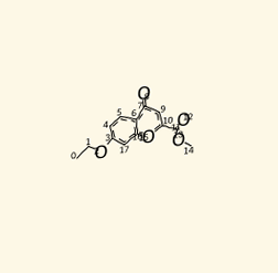 CCOc1ccc2c(=O)cc(C(=O)OC)oc2c1